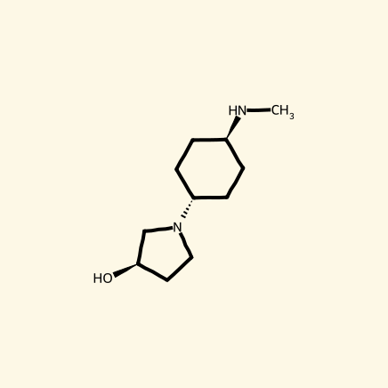 CN[C@H]1CC[C@H](N2CC[C@@H](O)C2)CC1